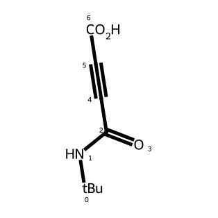 CC(C)(C)NC(=O)C#CC(=O)O